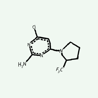 Nc1nc(Cl)cc(N2CCCC2C(F)(F)F)n1